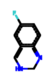 Fc1ccc2c(c1)=CNCN=2